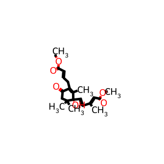 CCOC(=O)C=CCC1=C(C)[C@](O)(C=CC(C)=CC(=O)OC)C(C)(C)CC1=O